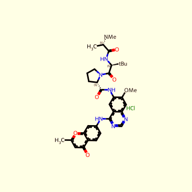 CN[C@@H](C)C(=O)N[C@H](C(=O)N1CCC[C@H]1C(=O)Nc1cc2c(Nc3ccc4c(=O)cc(C)oc4c3)ncnc2cc1OC)C(C)(C)C.Cl